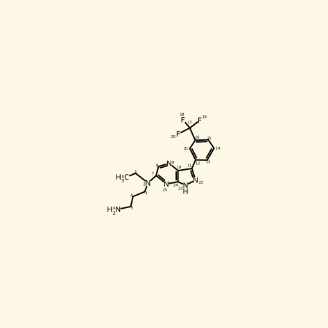 CCN(CCCN)c1cnc2c(-c3cccc(C(F)(F)F)c3)n[nH]c2n1